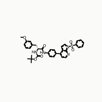 COc1cccc(C[C@@H](NC(=O)OC(C)(C)C)C(=O)Nc2ccc(-c3ccnc4c3ccn4S(=O)(=O)c3ccccc3)cc2)c1